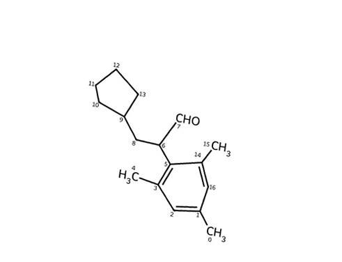 Cc1cc(C)c(C(C=O)CC2CCCC2)c(C)c1